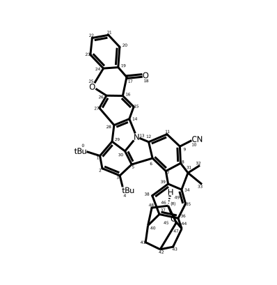 CC(C)(C)c1cc(C(C)(C)C)c2c3c4c(c(C#N)cc3n3c5cc6c(=O)c7ccccc7oc6cc5c1c23)C(C)(C)c1cc2c(cc1-4)C1CC3CC2C[C@@H](C3)C1